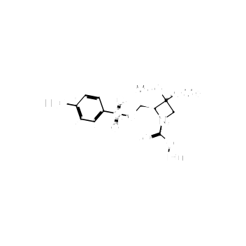 COC1(OC)CN(C(=O)OC(C)(C)C)[C@H]1COS(=O)(=O)c1ccc(C)cc1